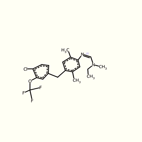 CCN(C)/C=N\c1cc(C)c(Cc2ccc(Cl)c(OC(F)(F)F)c2)cc1C